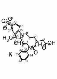 CC(=O)N(C=CC1=[N+](CCCCCC(=O)O)c2ccc(S(=O)(=O)[O-])cc2C1(C)C)c1ccccc1.[K]